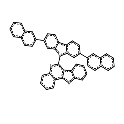 c1ccc2cc(-c3ccc4c5ccc(-c6ccc7ccccc7c6)cc5n(-c5nc6ccccc6c6nc7ccccc7n56)c4c3)ccc2c1